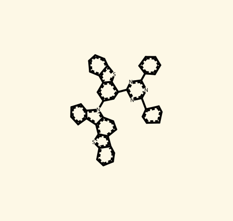 c1ccc(-c2nc(-c3ccccc3)nc(-c3cc(-n4c5ccccc5c5c6sc7ccccc7c6ccc54)cc4c3sc3ccccc34)n2)cc1